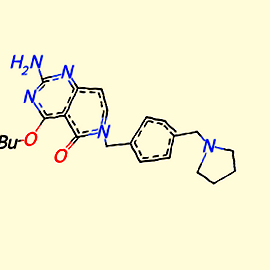 CCCCOc1nc(N)nc2ccn(Cc3ccc(CN4CCCC4)cc3)c(=O)c12